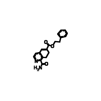 NC(=O)c1nccc2c1CCC(C(=O)OCCc1ccccc1)=C2